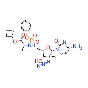 C[C@H](NP(=O)(OC[C@H]1OC(n2ccc(N)nc2=O)[C@](C)(N=[N+]=[N-])[C@@H]1O)Oc1ccccc1)C(=O)OC1CCC1